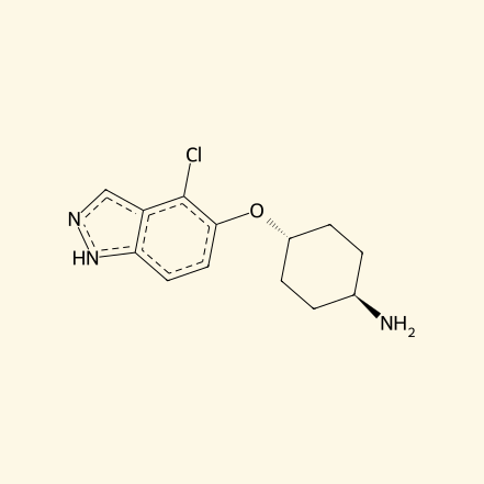 N[C@H]1CC[C@H](Oc2ccc3[nH]ncc3c2Cl)CC1